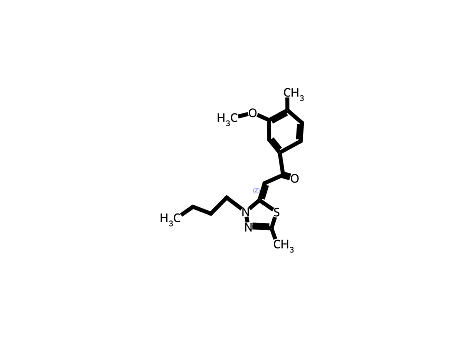 CCCCN1N=C(C)S/C1=C\C(=O)c1ccc(C)c(OC)c1